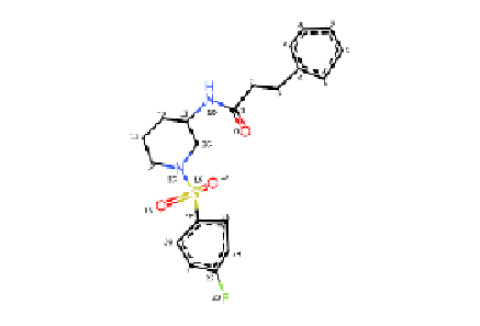 O=C(CCc1ccccc1)NC1CCCN(S(=O)(=O)c2ccc(F)cc2)C1